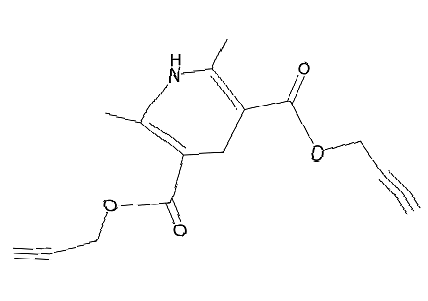 C#CCOC(=O)C1=C(C)NC(C)=C(C(=O)OCC#C)C1